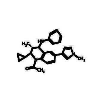 CC(=O)N1c2ccc(-c3cnn(C)c3)cc2C(Nc2ccccc2)[C@@H](C)C1C1CC1